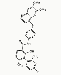 COc1cc2nccc(Oc3ccc(NC(=O)c4cnc(C)c(-c5ccc(F)cc5C)c4O)cc3)c2nc1OC